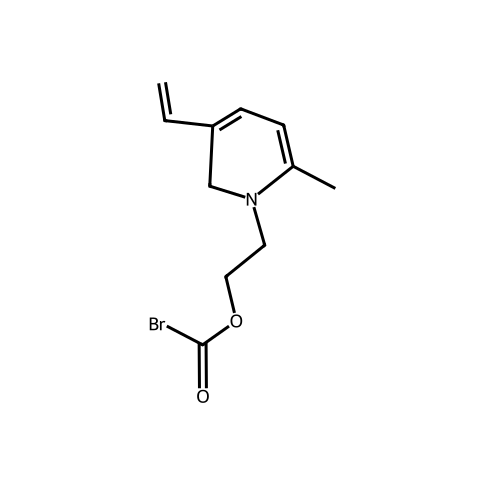 C=CC1=CC=C(C)N(CCOC(=O)Br)C1